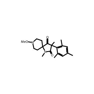 CON1CCC2(CC1)C(=O)C(C)(c1c(C)cc(C)cc1C)C(=O)N2C